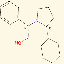 OC[C@H](c1ccccc1)N1CCC[C@@H]1C1CCCCC1